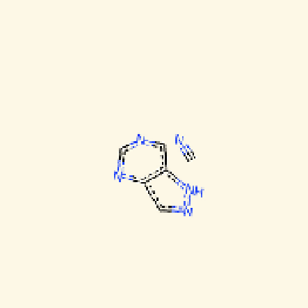 C#N.c1ncc2[nH]ncc2n1